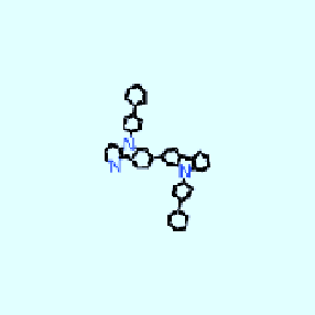 c1ccc(-c2ccc(-n3c4ccccc4c4ccc(-c5ccc6c7ncccc7n(-c7ccc(-c8ccccc8)cc7)c6c5)cc43)cc2)cc1